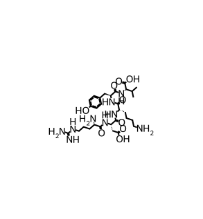 CC(C)[C@H](NC(=O)[C@H](Cc1ccc(O)cc1)NC(=O)[C@H](CCCCN)NC(=O)[C@H](CC(=O)O)NC(=O)[C@@H](N)CCCNC(=N)N)C(=O)O